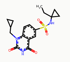 CCC1(NS(=O)(=O)c2ccc3c(c2)c(=O)[nH]c(=O)n3CC2CC2)CC1